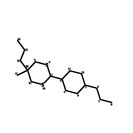 CCCC1CCC(C2SCC(C)(CCC)CS2)CC1